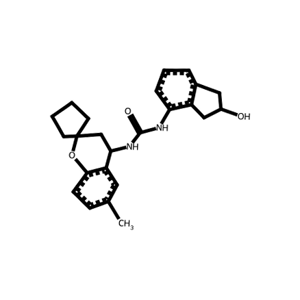 Cc1ccc2c(c1)C(NC(=O)Nc1cccc3c1CC(O)C3)CC1(CCCC1)O2